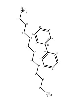 CCCCCCCCCCCCN.c1ccc(-c2ccccc2)cc1